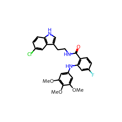 COc1cc(Nc2cc(F)ccc2C(=O)NCCc2c[nH]c3ccc(Cl)cc23)cc(OC)c1OC